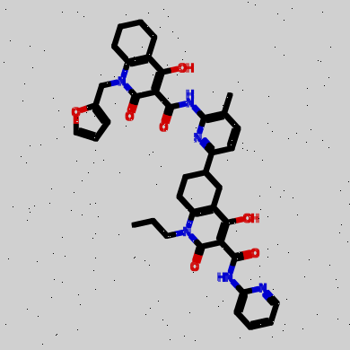 CCCn1c2c(c(O)c(C(=O)Nc3ccccn3)c1=O)CC(c1ccc(C)c(NC(=O)c3c(O)c4c(n(Cc5ccco5)c3=O)CCCC4)n1)CC2